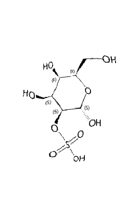 O=S(=O)(O)O[C@H]1[C@@H](O)[C@@H](O)[C@@H](CO)O[C@@H]1O